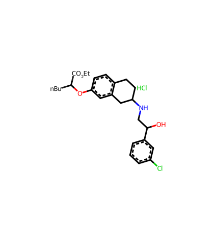 CCCCC(Oc1ccc2c(c1)CC(NCC(O)c1cccc(Cl)c1)CC2)C(=O)OCC.Cl